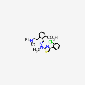 CCN(CC)CCc1cccc(C(=O)O)c1/C=N/N(C)c1nc(-c2ccccc2Cl)cs1